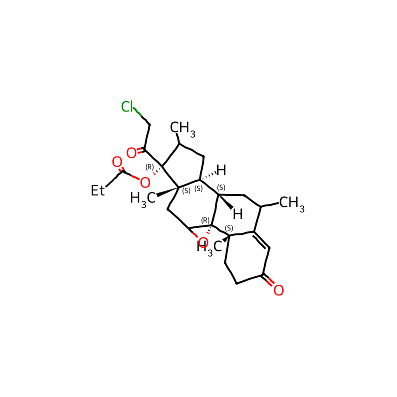 CCC(=O)O[C@]1(C(=O)CCl)C(C)C[C@H]2[C@@H]3CC(C)C4=CC(=O)CC[C@]4(C)[C@]34OC4C[C@@]21C